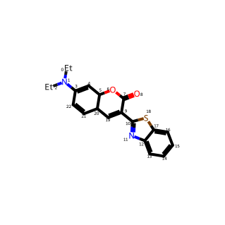 CCN(CC)C1=CC2OC(=O)C(c3nc4ccccc4s3)=CC2C=C1